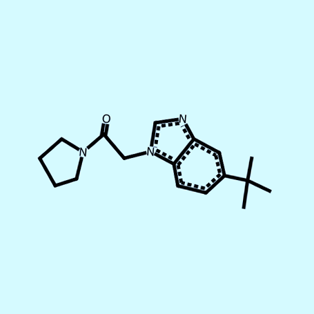 CC(C)(C)c1ccc2c(c1)ncn2CC(=O)N1CCCC1